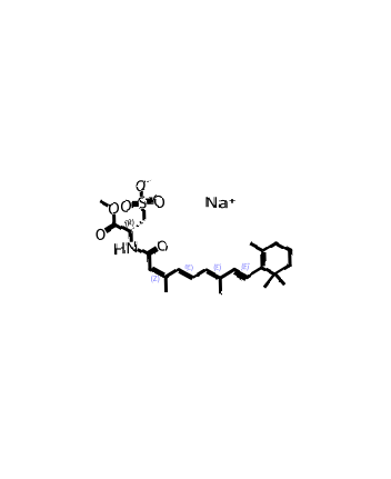 COC(=O)[C@H](CS(=O)(=O)[O-])NC(=O)\C=C(C)/C=C/C=C(C)/C=C/C1=C(C)CCCC1(C)C.[Na+]